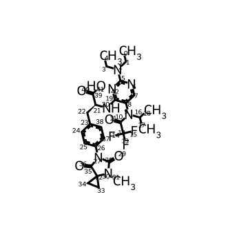 CCN(CC)c1ncc(N(C(=O)C(F)(F)F)C(C)C)c(N[C@@H](Cc2ccc(N3C(=O)N(C)C4(CC4)C3=O)cc2)C(=O)O)n1